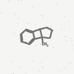 CC12C[CH]C[C]1c1ccccc12